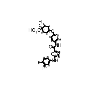 CC1(C(=O)O)CCC(Oc2ccc(NC(=O)c3nnc(Nc4ccc(F)c(F)c4)o3)cn2)CC1